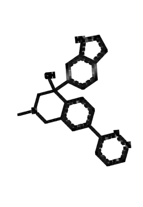 CN1Cc2cc(-c3cccnn3)ccc2C(O)(c2ccc3cc[nH]c3c2)C1